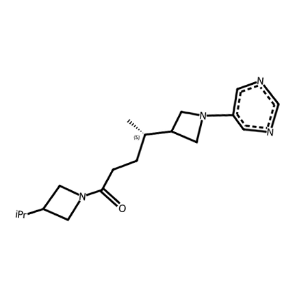 CC(C)C1CN(C(=O)CC[C@H](C)C2CN(c3cncnc3)C2)C1